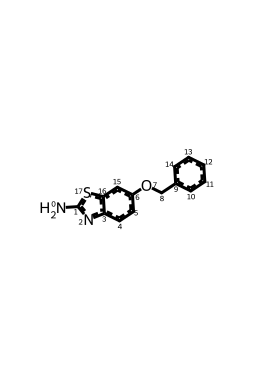 Nc1nc2ccc(OCc3ccccc3)cc2s1